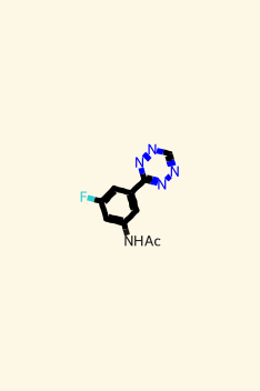 CC(=O)Nc1cc(F)cc(-c2nncnn2)c1